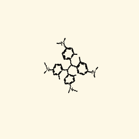 Cc1cc(N(C)C)ccc1C(c1ccc(N(C)C)cc1C)C(c1ccc(N(C)C)cc1C)c1ccc(N(C)C)cc1C